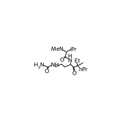 CCCC(C)(CC)C(=O)C(CCCNC(N)=O)NC(=O)C(NC)C(C)C